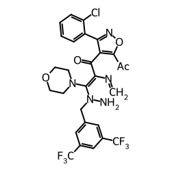 C=N/C(C(=O)c1c(-c2ccccc2Cl)noc1C(C)=O)=C(\N(N)Cc1cc(C(F)(F)F)cc(C(F)(F)F)c1)N1CCOCC1